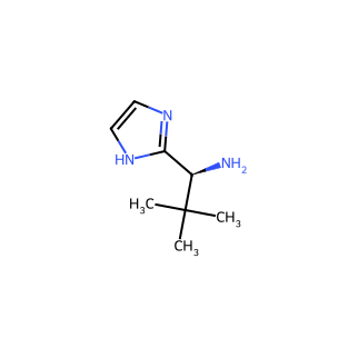 CC(C)(C)[C@H](N)c1ncc[nH]1